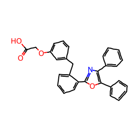 O=C(O)COc1cccc(Cc2ccccc2-c2nc(-c3ccccc3)c(-c3ccccc3)o2)c1